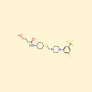 COCCCC(=O)N[C@H]1CC[C@H](CCN2CCN(c3cc(F)cc(C(F)(F)F)c3)CC2)CC1